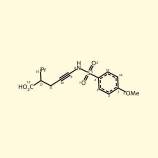 COc1ccc(S(=O)(=O)NC#CCC(C(=O)O)C(C)C)cc1